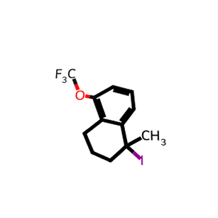 CC1(I)CCCc2c(OC(F)(F)F)cccc21